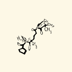 CCN(C(=O)CCCC(C)(C)C(=O)N(C)C(=O)C1CCCC1)C(=O)C(C)(C)C